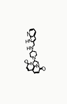 O=c1ccc2ccc(=O)n3c2n1CC3N1CCC(NCc2cc3cccnc3[nH]2)CC1